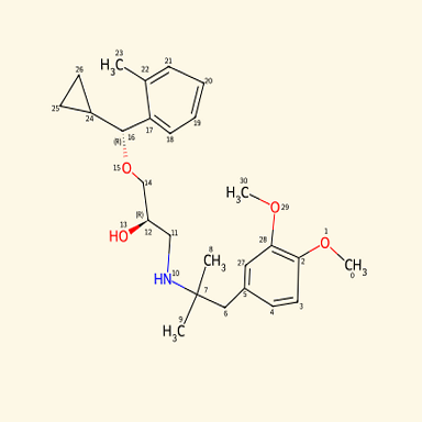 COc1ccc(CC(C)(C)NC[C@@H](O)CO[C@@H](c2ccccc2C)C2CC2)cc1OC